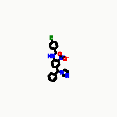 O=[N+]([O-])c1cc(C(c2ccccc2)n2ccnc2)ccc1NCc1ccc(F)cc1